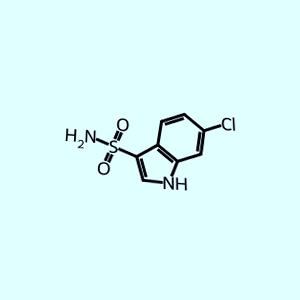 NS(=O)(=O)c1c[nH]c2cc(Cl)ccc12